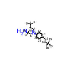 CC(C)CCN(CC(C)(C)N)c1ccc(CCC(C)(C)C)cc1